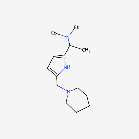 CCN(CC)C(C)c1ccc(CN2CCCCC2)[nH]1